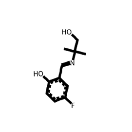 CC(C)(CO)/N=C/c1cc(F)ccc1O